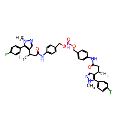 CC(CC(=O)Nc1ccc(CO[PH](=O)OCc2ccc(NC(=O)CC(C)c3cnn(C)c3-c3ccc(F)cc3)cc2)cc1)c1cnn(C)c1-c1ccc(F)cc1